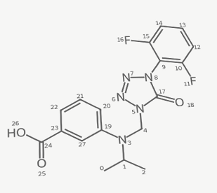 CC(C)N(Cn1nnn(-c2c(F)cccc2F)c1=O)c1cccc(C(=O)O)c1